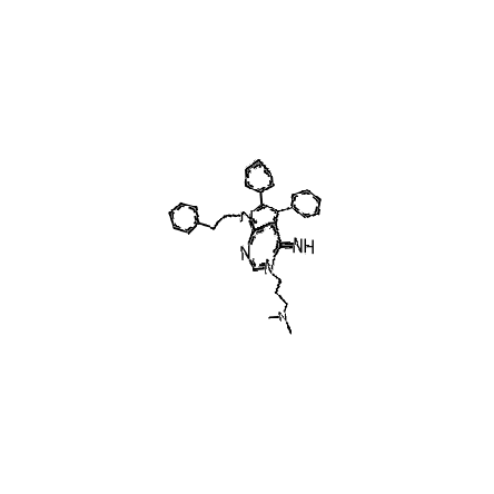 CN(C)CCCn1cnc2c(c(-c3ccccc3)c(-c3ccccc3)n2CCc2ccccc2)c1=N